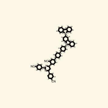 N#Cc1ccc(-c2cc(-c3ccc(-c4ccc(-c5ccc(-n6c7ccccc7c7cc(-n8c9ccccc9c9ccccc98)ccc76)cc5)cc4)cc3C#N)nc(-c3ccc(C#N)cc3)n2)cc1